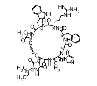 CC[C@H](C)[C@@H]1NC(=O)N([C@H]2CSSC[C@@H](C(C)=O)NC(=O)[C@H](Cc3c[nH]c4ccccc34)NC(=O)[C@H](CCCNC(=N)N)NC(=O)[C@@H](Cc3ccccc3)NC(=O)[C@H](Cc3cnc[nH]3)NC(=O)[C@@H](C)NC2=O)C1=O